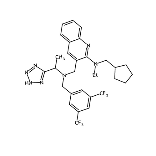 CCN(CC1CCCC1)c1nc2ccccc2cc1CN(Cc1cc(C(F)(F)F)cc(C(F)(F)F)c1)C(C)c1nn[nH]n1